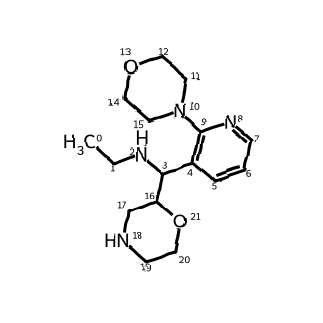 CCNC(c1[c]ccnc1N1CCOCC1)C1CNCCO1